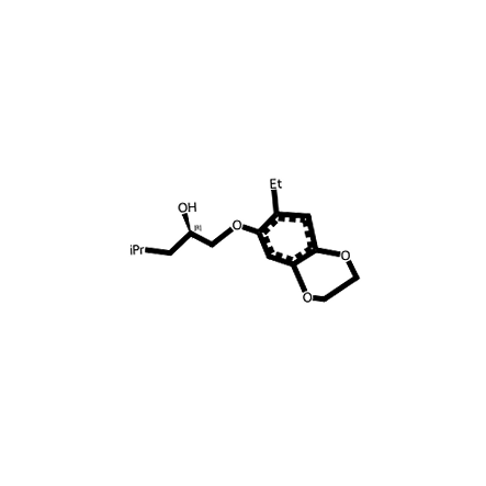 CCc1cc2c(cc1OC[C@H](O)CC(C)C)OCCO2